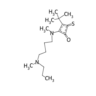 CCCN(C)CCCCN(C)c1c(C(C)(C)C)c(=S)c1=O